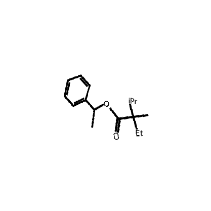 CCC(C)(C(=O)OC(C)c1ccccc1)C(C)C